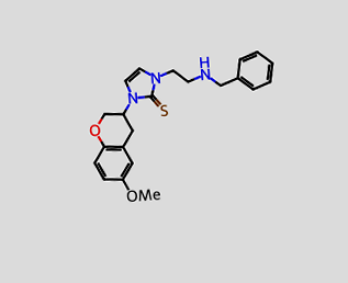 COc1ccc2c(c1)CC(n1ccn(CCNCc3ccccc3)c1=S)CO2